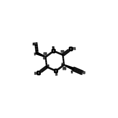 C#C[C@H]1OC(=O)[C@@H](C=C)OC1=O